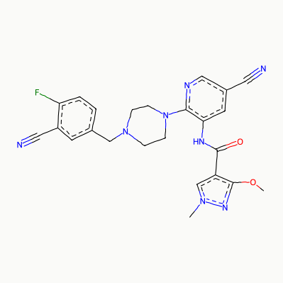 COc1nn(C)cc1C(=O)Nc1cc(C#N)cnc1N1CCN(Cc2ccc(F)c(C#N)c2)CC1